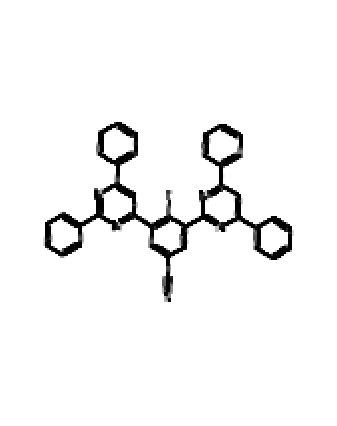 N#Cc1cc(-c2cc(-c3ccccc3)nc(-c3ccccc3)n2)c(F)c(-c2nc(-c3ccccc3)cc(-c3ccccc3)n2)c1